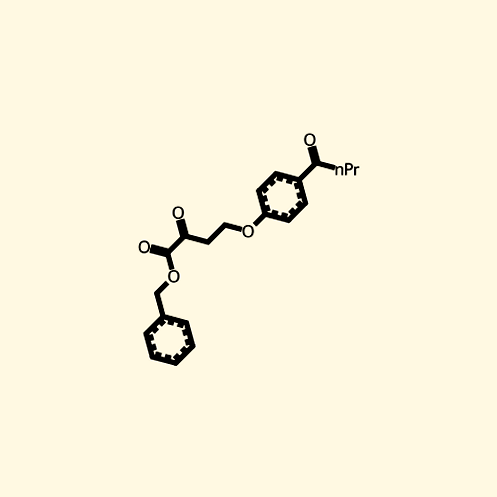 CCCC(=O)c1ccc(OCCC(=O)C(=O)OCc2ccccc2)cc1